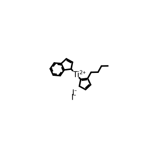 CCCCC1=[C]([Ti+2][CH]2C=Cc3ccccc32)CC=C1.[I-].[I-]